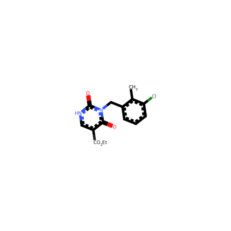 CCOC(=O)c1c[nH]c(=O)n(Cc2cccc(Cl)c2C)c1=O